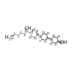 CCCCCC(C)C1CC=C(c2ccc(-c3ccc(O)cc3)cc2)CC1